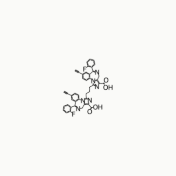 C#Cc1ccc2c(c1)C(c1ccccc1F)=NCc1c(C(=O)O)nc(CCCc3nc(C(=O)O)c4n3-c3ccc(C#C)cc3C(c3ccccc3F)=NC4)n1-2